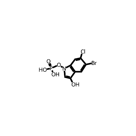 O=P(O)(O)On1cc(O)c2cc(Br)c(Cl)cc21